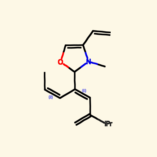 C=CC1=COC(C(/C=C\C)=C/C(=C)C(C)C)N1C